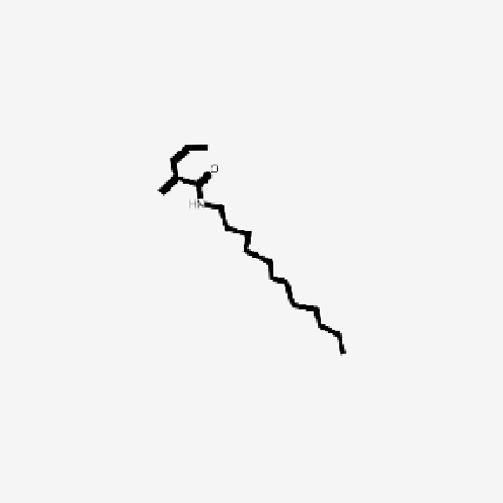 C=C(/C=C\C)C(=O)NCCCCCCCCCCCC